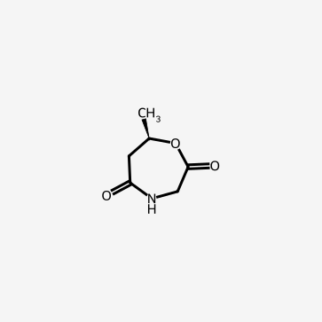 C[C@@H]1CC(=O)NCC(=O)O1